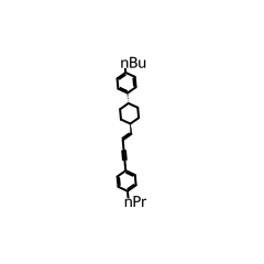 CCCCc1ccc([C@H]2CC[C@H](C=CC#Cc3ccc(CCC)cc3)CC2)cc1